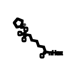 CCCCCCC(=O)CCCCCS(=O)(=O)O[S+]1CCCC1